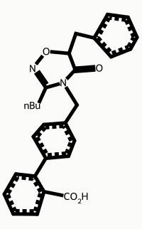 CCCCC1=NOC(Cc2ccccc2)C(=O)N1Cc1ccc(-c2ccccc2C(=O)O)cc1